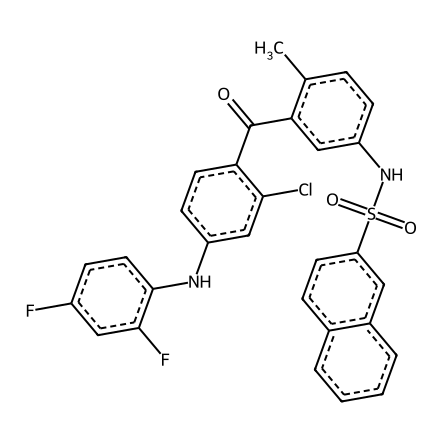 Cc1ccc(NS(=O)(=O)c2ccc3ccccc3c2)cc1C(=O)c1ccc(Nc2ccc(F)cc2F)cc1Cl